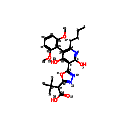 CCCCc1nc(O)c(-c2nnc(C(C(=O)O)C(C)(C)C)o2)c(O)c1-c1c(OC)cccc1OC